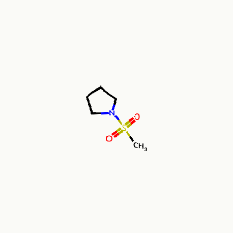 CS(=O)(=O)N1C[CH]CC1